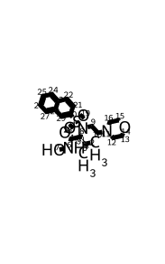 CC(C)[C@H](C(=O)NO)N(CCN1CCOCC1)S(=O)(=O)c1ccc2ccccc2c1